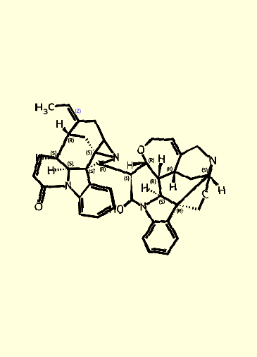 C/C=C1/CC2N3[C@@H]([C@@H]4C(O)N5c6ccccc6[C@@]67CCN8CC9=CCO[C@@H]4[C@@H]([C@H]56)[C@H]9C[C@H]87)C[C@]45c6ccccc6N6C(=O)C=C[C@H]([C@H]64)[C@H]1C[C@]235